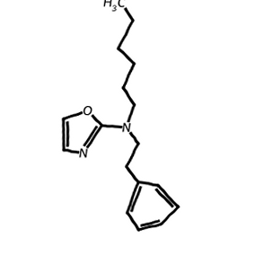 CCCCCCN(CCc1ccccc1)c1ncco1